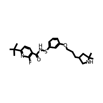 CC1(C)CC(CCCOc2cccc(SNC(=O)c3ccc(C(C)(C)C)nc3F)c2)CN1